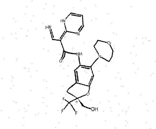 N=C/C(C(=O)Nc1cc2c(cc1N1CCOCC1)O[C@](CO)(C(F)(F)F)C2)=C1/N=CC=CN1